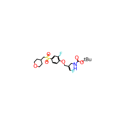 CC(C)(C)OC(=O)NC/C(=C\F)COc1ccc(S(=O)(=O)CC2CCOCC2)cc1F